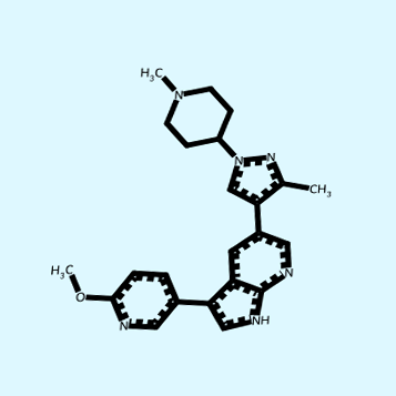 COc1ccc(-c2c[nH]c3ncc(-c4cn(C5CCN(C)CC5)nc4C)cc23)cn1